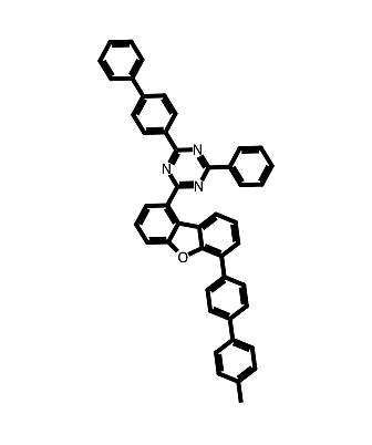 Cc1ccc(-c2ccc(-c3cccc4c3oc3cccc(-c5nc(-c6ccccc6)nc(-c6ccc(-c7ccccc7)cc6)n5)c34)cc2)cc1